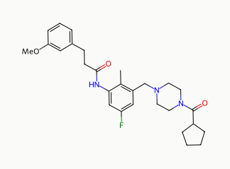 COc1cccc(CCC(=O)Nc2cc(F)cc(CN3CCN(C(=O)C4CCCC4)CC3)c2C)c1